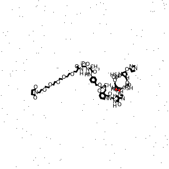 CC(C)[C@H](NC(=O)CCOCCOCCOCCOCCOCCN1C(=O)C=CC1=O)C(=O)N[C@@H](C)C(=O)Nc1ccc(COC(=O)N(C)Cc2ccccc2C(=O)Nc2nc3c(ncn3[C@@H]3O[C@H]4CO[P@@](=O)(S)O[C@H]5C[C@H](Oc6ccncn6)C[C@@H]5CO[P@@](=O)(S)O[C@@H]3[C@@H]4O)c(=O)[nH]2)cc1